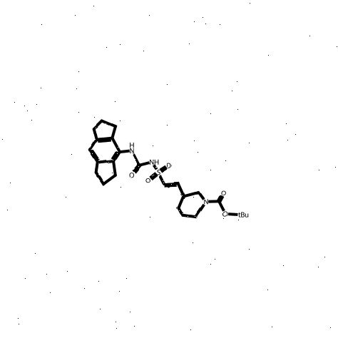 CC(C)(C)OC(=O)N1CCCC(/C=C/S(=O)(=O)NC(=O)Nc2c3c(cc4c2CCC4)CCC3)C1